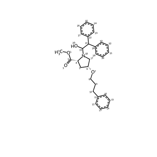 COC(=O)[C@H]1C[C@@H](OCCCc2ccccc2)CN1C(O)C(c1ccccc1)c1ccccc1